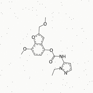 CCn1nccc1NC(=O)Oc1ccc(OC)c2oc(COC)cc12